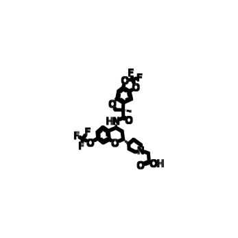 C[C@]1(C(=O)N[C@@H]2C[C@H](C3CCN(CC(=O)O)CC3)Oc3cc(OC(F)(F)F)ccc32)COc2cc3c(cc21)OC(F)(F)O3